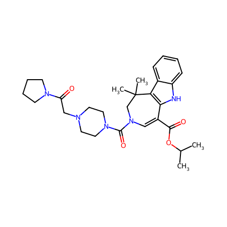 CC(C)OC(=O)C1=CN(C(=O)N2CCN(CC(=O)N3CCCC3)CC2)CC(C)(C)c2c1[nH]c1ccccc21